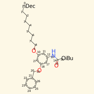 CCCCCCCCCCCCCCCCCCOc1cc(NC(=O)OCC(C)C)cc(OCc2ccccc2)c1